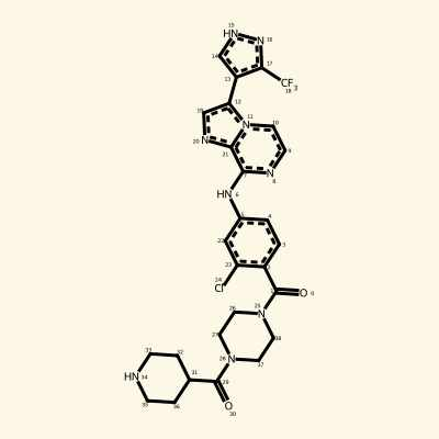 O=C(c1ccc(Nc2nccn3c(-c4c[nH]nc4C(F)(F)F)cnc23)cc1Cl)N1CCN(C(=O)C2CCNCC2)CC1